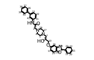 O=C(CN1CCN(C[C@H](O)COc2ccc3oc(-c4ccccc4)nc3c2)CC1)Nc1cccc(-c2ccccc2)c1